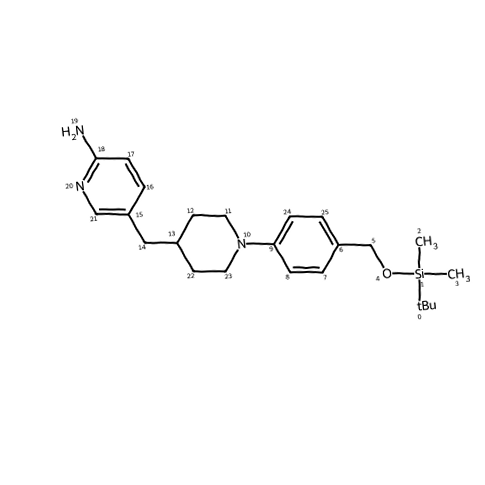 CC(C)(C)[Si](C)(C)OCc1ccc(N2CCC(Cc3ccc(N)nc3)CC2)cc1